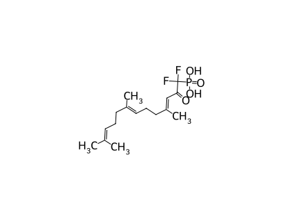 CC(C)=CCCC(C)=CCCC(C)=CC(=O)C(F)(F)P(=O)(O)O